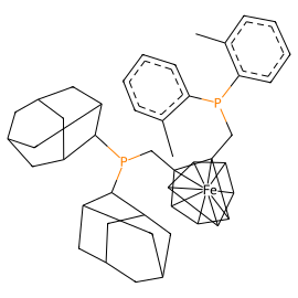 Cc1ccccc1P(C[C]12[CH]3[CH]4[CH]5[C]1(CP(C1C6CC7CC(C6)CC1C7)C1C6CC7CC(C6)CC1C7)[Fe]43521678[CH]2[CH]1[CH]6[CH]7[CH]28)c1ccccc1C